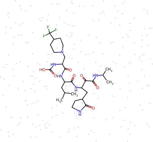 CC(C)CC(NC(=O)C(CN1CCC(C(F)(F)F)CC1)NC(=O)O)C(=O)NC(CC1CCNC1=O)C(=O)C(=O)NC(C)C